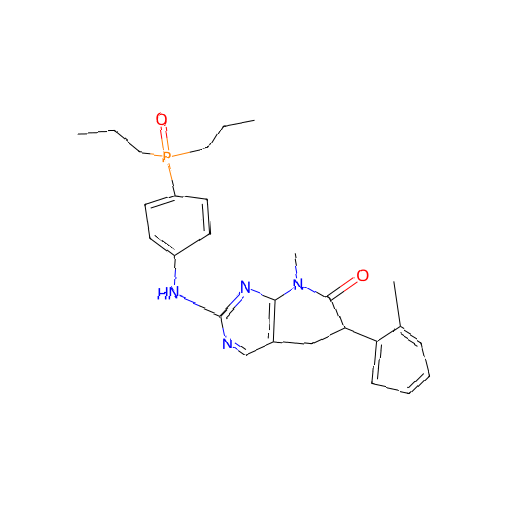 CCCP(=O)(CCC)c1ccc(Nc2ncc3c(n2)N(C)C(=O)C(c2ccccc2C)C3)cc1